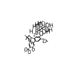 BC(O)(Oc1cc2c(cc1COC)-c1cc(=O)c(C(=O)OC)cn1N1C2CC1(C)C)C(O)(O)C(O)(O)O